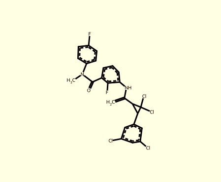 C=C(Nc1cccc(C(=O)N(C)c2ccc(F)cc2)c1F)C1C(c2cc(Cl)cc(Cl)c2)C1(Cl)Cl